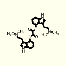 CN(C)CCc1c[nH]c2cccc(OC(=O)C(=O)Oc3cccc4[nH]cc(CCN(C)C)c34)c12